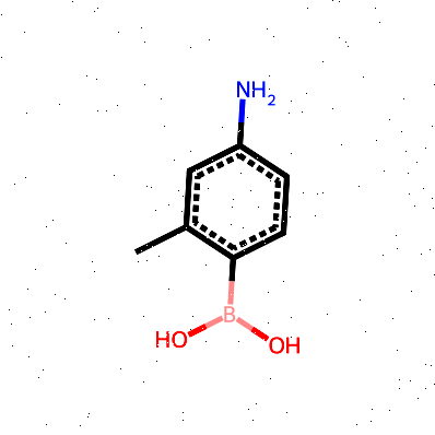 Cc1cc(N)ccc1B(O)O